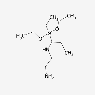 CCO[Si](CC)(OCC)C(CC)NCCN